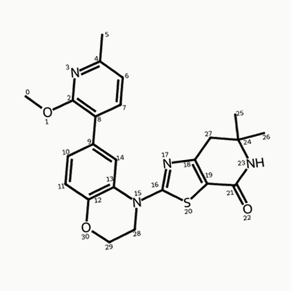 COc1nc(C)ccc1-c1ccc2c(c1)N(c1nc3c(s1)C(=O)NC(C)(C)C3)CCO2